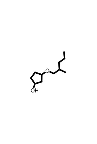 CCCC(C)COC1CCC(O)C1